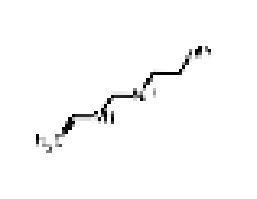 C=CNCNCCCCC